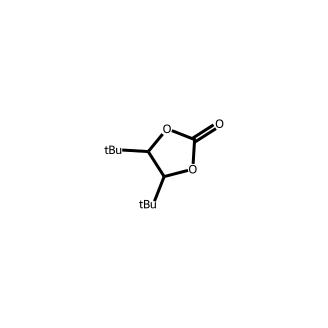 CC(C)(C)C1OC(=O)OC1C(C)(C)C